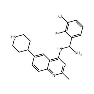 Cc1nc(NC(N)c2cccc(Cl)c2F)c2cc(C3CCNCC3)ccc2n1